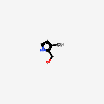 O=C(O)c1cc[nH]c1CO